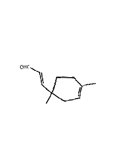 CC1=CCC(C)(C=CC=O)CC1